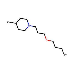 CC(C)CCCOCCCN1CCC(C(C)C)CC1